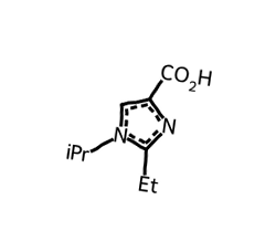 CCc1nc(C(=O)O)cn1C(C)C